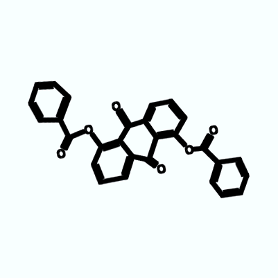 O=C(Oc1cccc2c1C(=O)c1cccc(OC(=O)c3ccccc3)c1C2=O)c1ccccc1